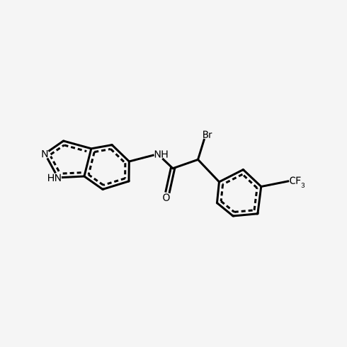 O=C(Nc1ccc2[nH]ncc2c1)C(Br)c1cccc(C(F)(F)F)c1